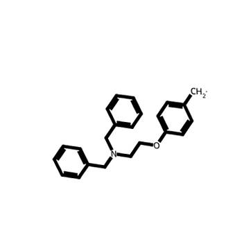 [CH2]c1ccc(OCCN(Cc2ccccc2)Cc2ccccc2)cc1